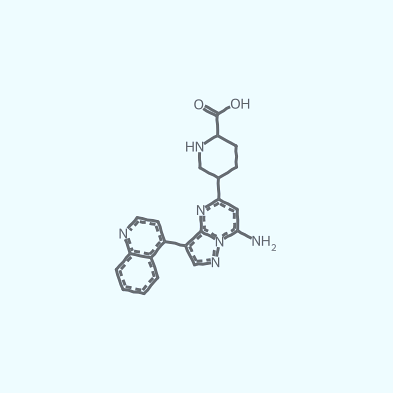 Nc1cc(C2CCC(C(=O)O)NC2)nc2c(-c3ccnc4ccccc34)cnn12